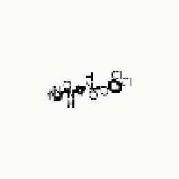 Cn1ccc(C(=O)NC23CC(NC(=O)COc4ccc(Cl)c(Cl)c4)(C2)C3)n1